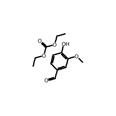 CCOC(=O)OCC.COc1cc(C=O)ccc1O